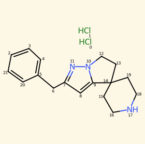 Cl.Cl.c1ccc(Cc2cc3n(n2)CCC32CCNCC2)cc1